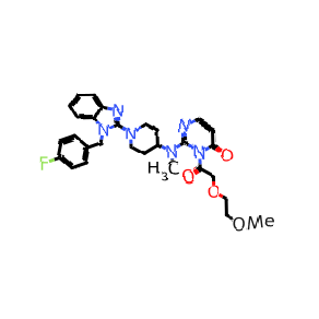 COCCOCC(=O)n1c(N(C)C2CCN(c3nc4ccccc4n3Cc3ccc(F)cc3)CC2)nccc1=O